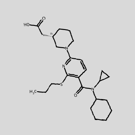 CCCSc1nc(N2CCC[C@@H](CC(=O)O)C2)ccc1C(=O)N(C1CCCCC1)C1CC1